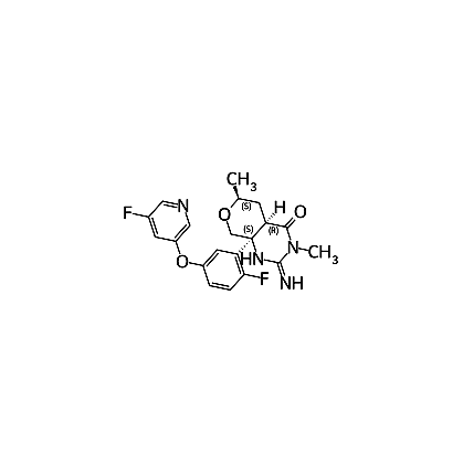 C[C@H]1C[C@H]2C(=O)N(C)C(=N)N[C@@]2(c2cc(Oc3cncc(F)c3)ccc2F)CO1